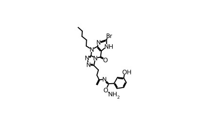 C=C(CCc1nnc2n(CCCCC)c3nc(Br)[nH]c3c(=O)n12)/N=C(\ON)c1cccc(O)c1